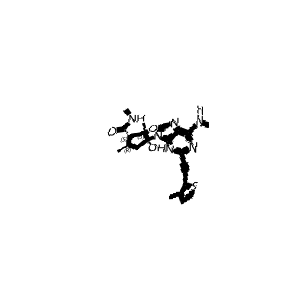 CNC(=O)[C@H]1[C@H](C)C[C@](O)(n2cnc3c(NC)nc(C#Cc4sccc4C)nc32)[C@@]1(C)O